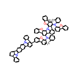 Cc1ccccc1N(c1cccc2c1oc1ccccc12)c1cc2c3ccccc3oc2c2c1c1cccc3c4c(N(c5ccccc5C)c5cccc6c5oc5ccc(-c7ccc8c9cc%10cc%11c(cc%10cc9n9c%10ccccc%10c7c89)C7=CC=CC8c9ccccc9N%11C78)cc56)cc5c6ccccc6oc5c4n2c13